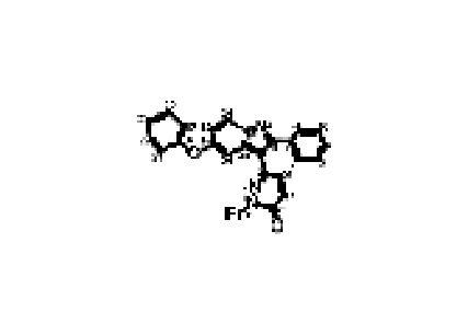 CC(C)n1nc(-c2c(-c3ccccc3)nn3ccc(Oc4ccccc4)cc23)ccc1=O